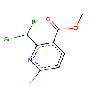 COC(=O)c1ccc(F)nc1C(Br)Br